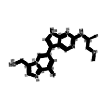 COC[C@H](C)Nc1ncc2c(-c3cc(F)c4ncc(CO)n4c3)c[nH]c2n1